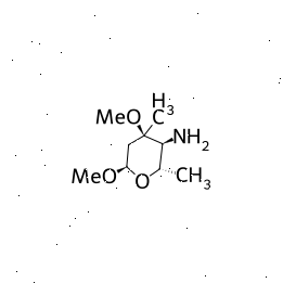 CO[C@H]1C[C@@](C)(OC)[C@@H](N)[C@H](C)O1